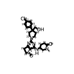 CN1CC(Nc2nc(N3CCC(CO)(c4ccc(Cl)cc4)CC3)nc3c2[S+]([O-])CC3)CCC1=O